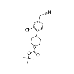 CC(C)(C)OC(=O)N1CCC(c2ccc(CC#N)cc2Cl)CC1